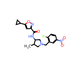 CC1CN(Cc2cc([N+](=O)[O-])ccc2F)CC1NC(=O)c1cc(C2CC2)on1